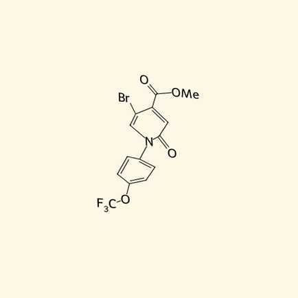 COC(=O)c1cc(=O)n(-c2ccc(OC(F)(F)F)cc2)cc1Br